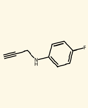 C#CCNc1ccc(F)cc1